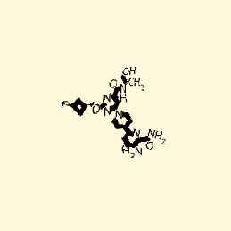 C[C@H](CO)NC(=O)c1cc(N2CCC(c3ccc(N)c(C(N)=O)n3)CC2)nc(OC[C@H]2C[C@H](F)C2)n1